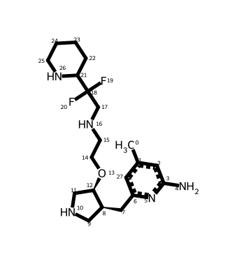 Cc1cc(N)nc(C[C@H]2CNC[C@H]2OCCNCC(F)(F)C2CCCCN2)c1